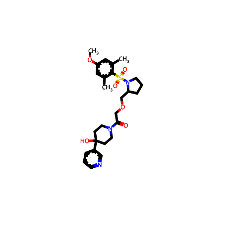 COc1cc(C)c(S(=O)(=O)N2CCCC2COCC(=O)N2CCC(O)(c3cccnc3)CC2)c(C)c1